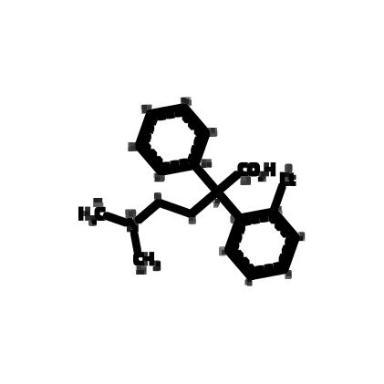 CCc1ccccc1C(CCN(C)C)(C(=O)O)c1ccccc1